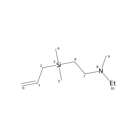 C=CC[Si](C)(C)CCN(C)CC